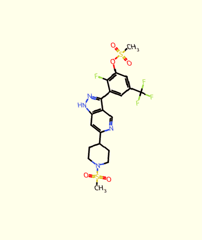 CS(=O)(=O)Oc1cc(C(F)(F)F)cc(-c2n[nH]c3cc(C4CCN(S(C)(=O)=O)CC4)ncc23)c1F